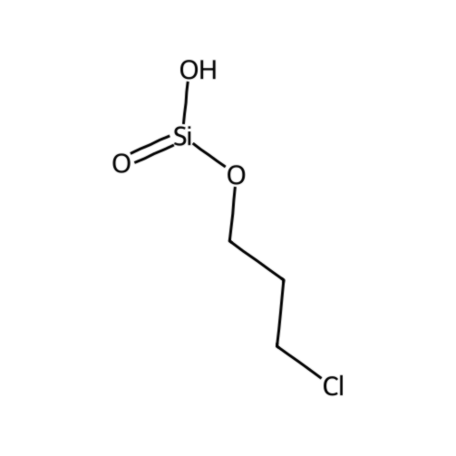 O=[Si](O)OCCCCl